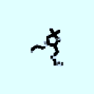 CCCCOCC1OC(C)(C)C[C@H]1CCI